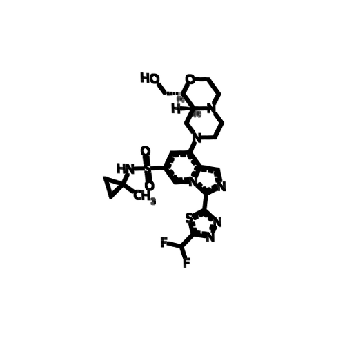 CC1(NS(=O)(=O)c2cc(N3CCN4CCO[C@@H](CO)[C@H]4C3)c3cnc(-c4nnc(C(F)F)s4)n3c2)CC1